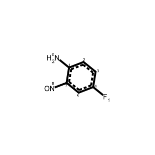 Nc1ccc(F)cc1N=O